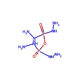 NNP(=O)(NN)OP(=O)(NN)NN